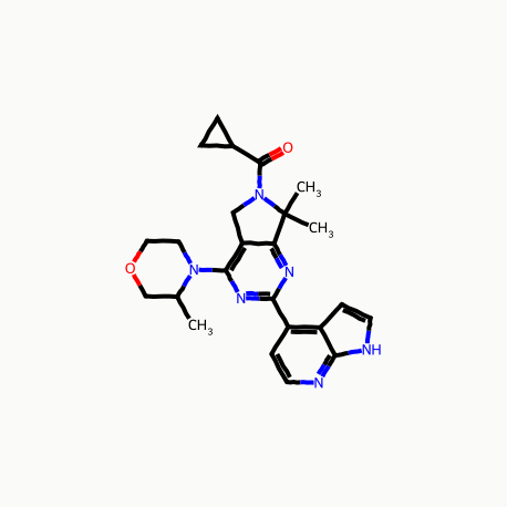 CC1COCCN1c1nc(-c2ccnc3[nH]ccc23)nc2c1CN(C(=O)C1CC1)C2(C)C